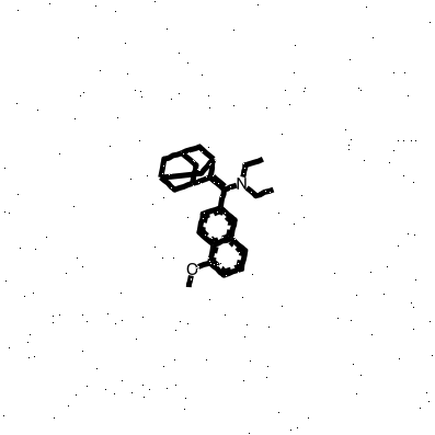 CCN(CC)C(=C1C2CC3CC(C2)CC1C3)c1ccc2c(OC)cccc2c1